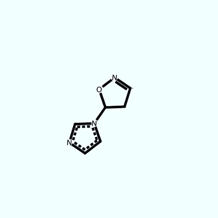 [C]1=NOC(n2ccnc2)C1